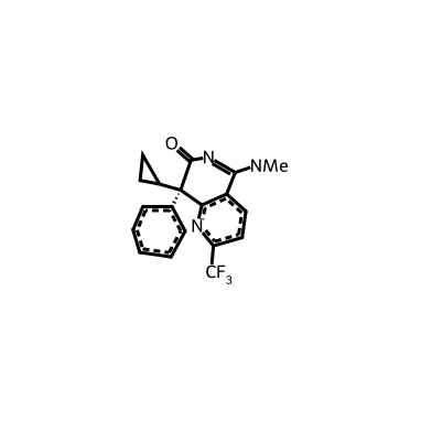 CNC1=NC(=O)[C@](c2ccccc2)(C2CC2)c2nc(C(F)(F)F)ccc21